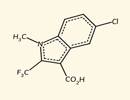 Cn1c(C(F)(F)F)c(C(=O)O)c2cc(Cl)ccc21